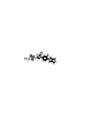 CS(=O)(=O)OC[C@H]1CN(c2ccc(N3CC4CSCC4C3)c(F)c2)C(=O)O1